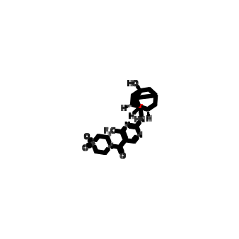 O=C(c1cnc(N[C@H]2[C@@H]3CC[C@@]4(O)CC(C3)C[C@@H]2C4)nc1C(F)(F)F)N1CCS(=O)(=O)CC1